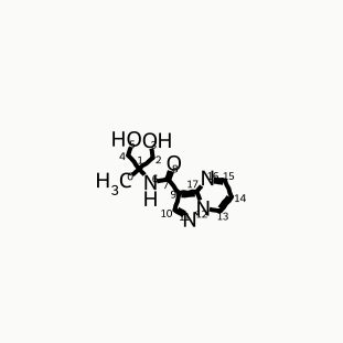 CC(CO)(CO)NC(=O)c1cnn2cccnc12